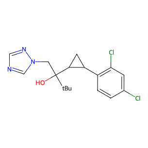 CC(C)(C)C(O)(Cn1cncn1)C1CC1c1ccc(Cl)cc1Cl